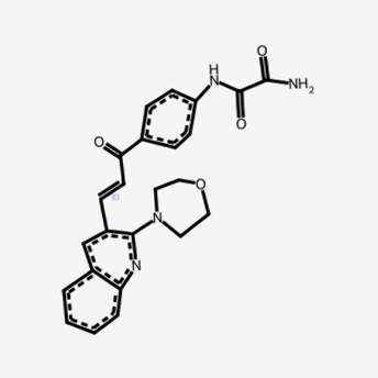 NC(=O)C(=O)Nc1ccc(C(=O)/C=C/c2cc3ccccc3nc2N2CCOCC2)cc1